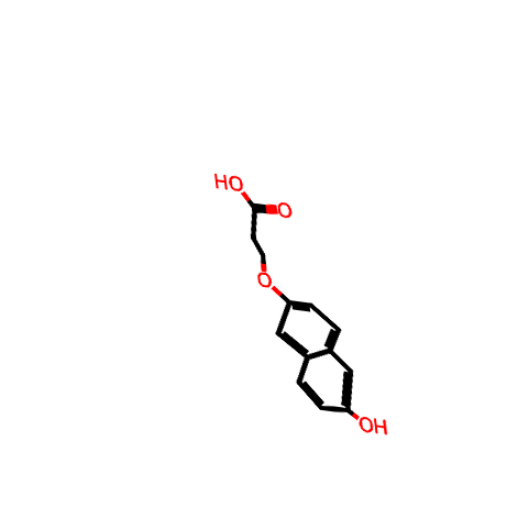 O=C(O)CCOc1ccc2cc(O)ccc2c1